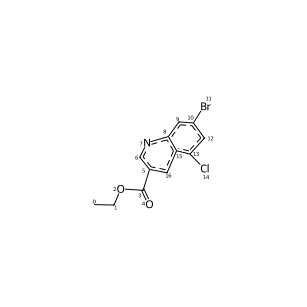 CCOC(=O)c1cnc2cc(Br)cc(Cl)c2c1